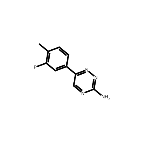 Cc1ccc(-c2cnc(N)nn2)cc1F